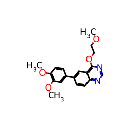 COCCOc1ncnc2ccc(-c3ccc(OC)c(OC)c3)cc12